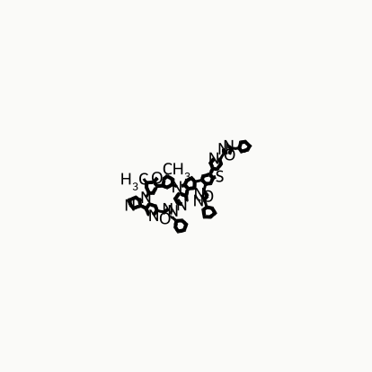 Cc1cc(-n2c3ccncc3c3cc(-c4cc5c(cc4-c4nnc(-c6ccccc6)o4)sc4cc(-c6nnc(-c7ccccc7)o6)ncc45)ccc32)cc2c1oc1c(C)cc(-n3c4ccncc4c4cnc(-c5nnc(-c6ccccc6)o5)cc43)cc12